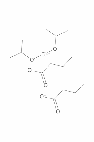 CC(C)[O][Ti+2][O]C(C)C.CCCC(=O)[O-].CCCC(=O)[O-]